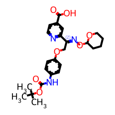 CC(C)(C)OC(=O)Nc1ccc(OC/C(=N\OC2CCCCO2)c2cc(C(=O)O)ccn2)cc1